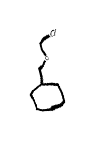 Cl[CH]OCC1CCCCC1